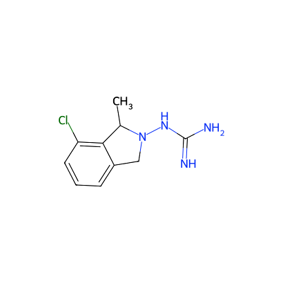 CC1c2c(Cl)cccc2CN1NC(=N)N